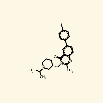 Cc1nc2ccc(-c3ccc(I)cc3)cc2c(=O)n1C[C@H]1CCCN(C(C)C)C1